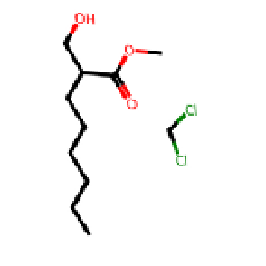 CCCCCCC(CO)C(=O)OC.ClCCl